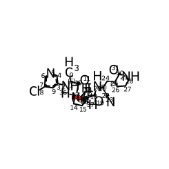 C[C@H](Nc1cncc(Cl)c1)C(=O)N1[C@H]2CC[C@@H]([C@H]1C(=O)N[C@H](C#N)C[C@@H]1CCCNC1=O)C(F)(F)C2